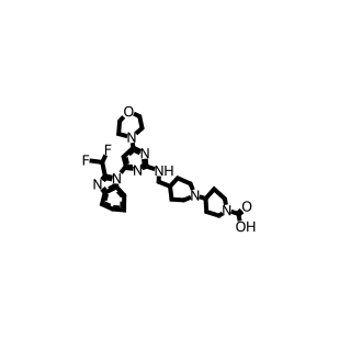 O=C(O)N1CCC(N2CCC(CNc3nc(N4CCOCC4)cc(-n4c(C(F)F)nc5ccccc54)n3)CC2)CC1